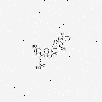 COc1cc(N(C(C)=O)c2ccc(C(CC(=O)O)NC(=O)CCCC(=O)O)cc2)ccc1NC(=O)Nc1ccccc1C